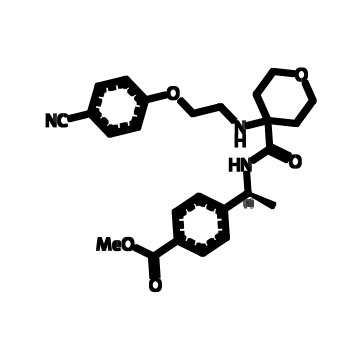 COC(=O)c1ccc([C@H](C)NC(=O)C2(NCCOc3ccc(C#N)cc3)CCOCC2)cc1